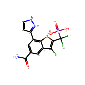 NC(=O)c1cc(-c2cc[nH]n2)c2sc(C(F)(F)P(=O)(O)O)c(Br)c2c1